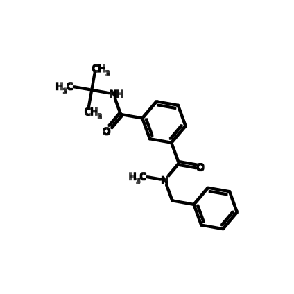 CN(Cc1ccccc1)C(=O)c1cccc(C(=O)NC(C)(C)C)c1